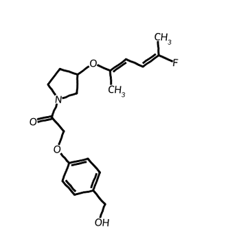 C/C(F)=C\C=C(/C)OC1CCN(C(=O)COc2ccc(CO)cc2)C1